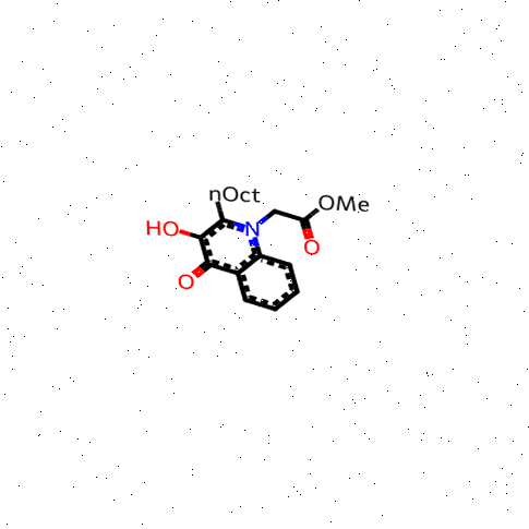 CCCCCCCCc1c(O)c(=O)c2ccccc2n1CC(=O)OC